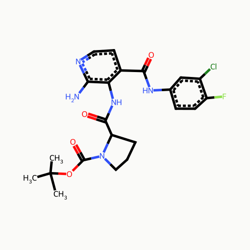 CC(C)(C)OC(=O)N1CCCC1C(=O)Nc1c(C(=O)Nc2ccc(F)c(Cl)c2)ccnc1N